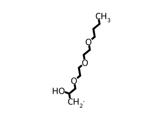 [CH2]C(O)COCCOCCOCCCC